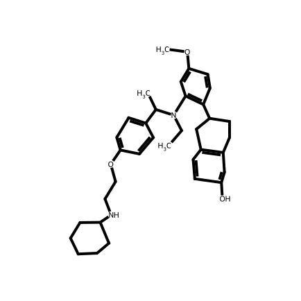 CCN(c1cc(OC)ccc1C1CCc2cc(O)ccc2C1)C(C)c1ccc(OCCNC2CCCCC2)cc1